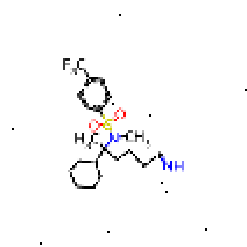 CN(C(C)(CCCC=N)C1CCCCC1)S(=O)(=O)c1ccc(C(F)(F)F)cc1